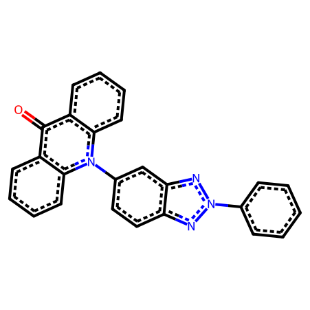 O=c1c2ccccc2n(-c2ccc3nn(-c4ccccc4)nc3c2)c2ccccc12